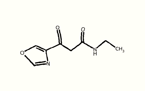 CCNC(=O)CC(=O)c1cocn1